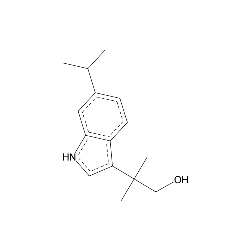 CC(C)c1ccc2c(C(C)(C)CO)c[nH]c2c1